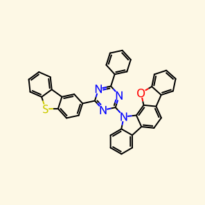 c1ccc(-c2nc(-c3ccc4sc5ccccc5c4c3)nc(-n3c4ccccc4c4ccc5c6ccccc6oc5c43)n2)cc1